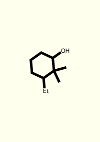 CCC1CCCC(O)C1(C)C